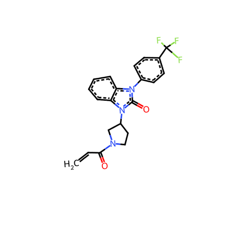 C=CC(=O)N1CCC(n2c(=O)n(-c3ccc(C(F)(F)F)cc3)c3ccccc32)C1